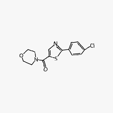 O=C(c1cnc(-c2ccc(Cl)cc2)s1)N1CCOCC1